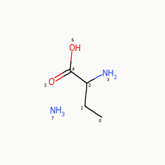 CCC(N)C(=O)O.N